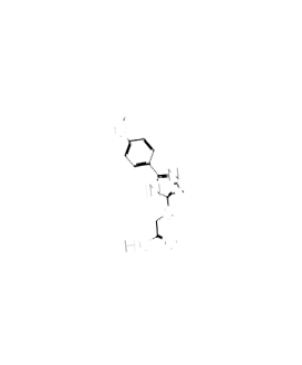 COc1ccc(-c2nnc(SCC(=O)O)[nH]2)cc1